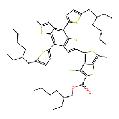 CCCCC(CC)COC(=O)c1sc2c(C)sc(-c3cc4c(-c5ccc(CC(CC)CCCC)s5)c5sc(C)cc5c(-c5ccc(CC(CC)CCCC)s5)c4s3)c2c1F